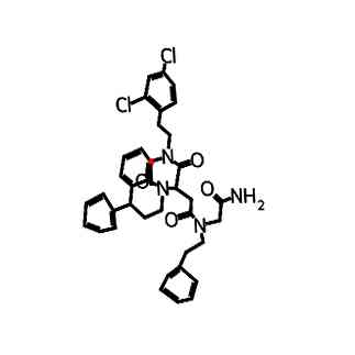 NC(=O)CN(CCc1ccccc1)C(=O)CC1C(=O)N(CCc2ccc(Cl)cc2Cl)CC(=O)N1CCC(c1ccccc1)c1ccccc1